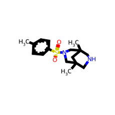 Cc1ccc(S(=O)(=O)N2CC3(C)CNCC(C)(C2)C3)cc1